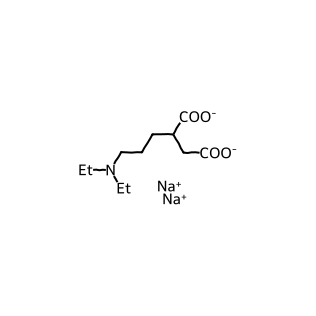 CCN(CC)CCCC(CC(=O)[O-])C(=O)[O-].[Na+].[Na+]